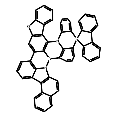 c1ccc2c(c1)-c1ccccc1[Si]21c2ccccc2N2c3c(cccc31)B1c3c(cc4oc5ccccc5c4c32)-c2cccc3c4c5ccccc5ccc4n1c23